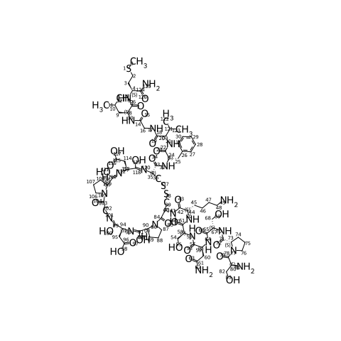 CSCC[C@H](NC(=O)[C@H](CC(C)C)NC(=O)CNC(=O)[C@@H](NC(=O)[C@H](Cc1ccccc1)NC(=O)[C@@H]1CSSC[C@H](NC(=O)[C@H](CCCCN)NC(=O)[C@H](CO)NC(=O)[C@H](CC(N)=O)NC(=O)[C@H](CO)NC(=O)[C@@H]2CCCN2C(=O)[C@@H](N)CO)C(=O)N2CCC[C@H]2C(O)=N[C@@H](CC(=O)O)C(O)=NCC(=O)N2CCC[C@H]2C(O)=N[C@@H](CC(=O)O)C(O)=N1)C(C)C)C(N)=O